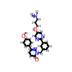 COc1ccc(-c2ccc(=O)n(Cc3cccc(-c4ncc(OCCCN(C)C)cn4)c3)n2)cc1